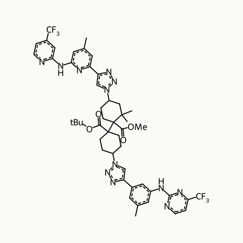 COC(=O)C1(C2(C(=O)OC(C)(C)C)CCC(n3cc(-c4cc(C)cc(Nc5nccc(C(F)(F)F)n5)c4)nn3)CC2)CCC(n2cc(-c3cc(C)cc(Nc4cc(C(F)(F)F)ccn4)n3)nn2)CC1(C)C